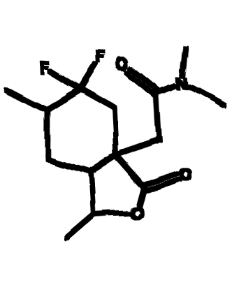 CC1OC(=O)C2(CC(=O)N(C)C)CC(F)(F)C(C)CC12